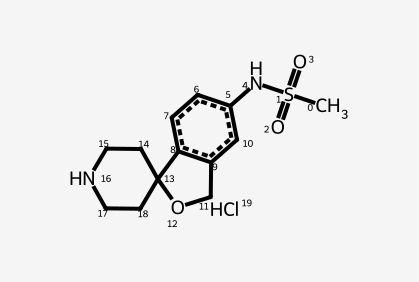 CS(=O)(=O)Nc1ccc2c(c1)COC21CCNCC1.Cl